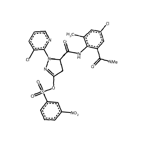 CNC(=O)c1cc(Cl)cc(C)c1NC(=O)C1CC(OS(=O)(=O)c2cccc([N+](=O)[O-])c2)=NN1c1ncccc1Cl